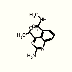 CNC(=O)c1cccc2nc(N)nc(C(C)C)c12